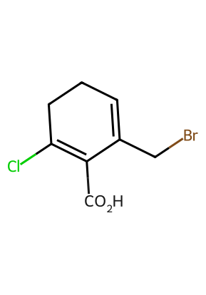 O=C(O)C1=C(Cl)CCC=C1CBr